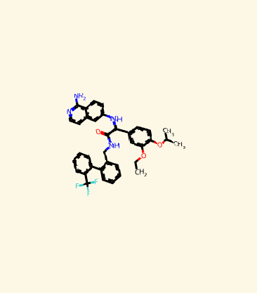 CCOc1cc(C(Nc2ccc3c(N)nccc3c2)C(=O)NCc2ccccc2-c2ccccc2C(F)(F)F)ccc1OC(C)C